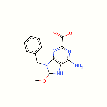 COC(=O)c1nc(N)c2c(n1)N(Cc1ccccc1)C(OC)N2